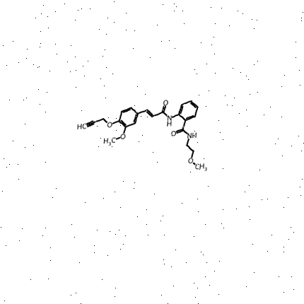 C#CCOc1ccc(/C=C/C(=O)Nc2ccccc2C(=O)NCCOC)cc1OC